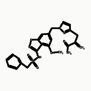 C=C(Cc1ccn(Cc2cc(OC)c3c(NS(=O)(=O)Cc4ccccc4)noc3c2)n1)C(N)=O